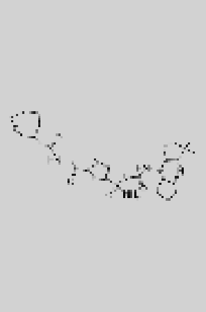 CC1(C)CCc2c1nc1c(c2NC(=O)N=S(N)(=O)c2cnn(C(=O)CNC(=O)CC3CCCCCC3)c2)CCC1